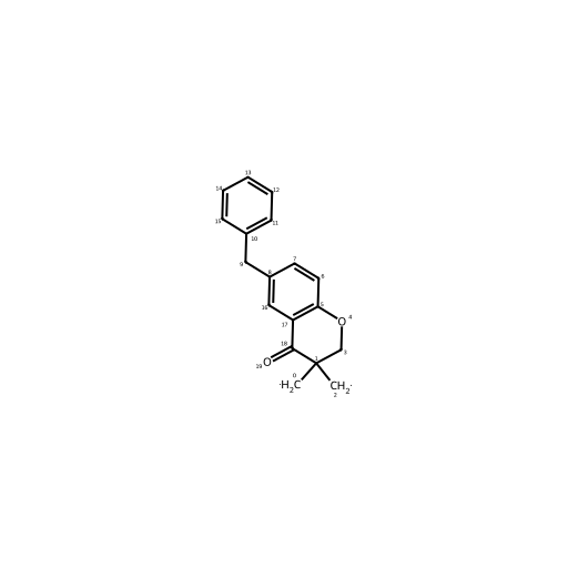 [CH2]C1([CH2])COc2ccc(Cc3ccccc3)cc2C1=O